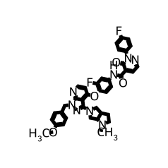 COc1ccc(Cn2nc(N3CC4CCN(C)C4C3)c3c(Oc4ccc(NC(=O)c5ccnn(-c6ccc(F)cc6)c5=O)cc4F)ccnc32)cc1